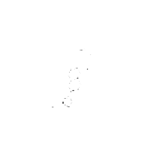 CC1CC(C)C2c3ccc4cc(-n5cnc(C(F)(F)F)c5)ccc4c3C=CC2C1F